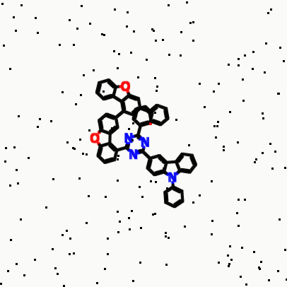 c1ccc(-c2cc(-c3ccc4oc5cccc(-c6nc(-c7ccccc7)nc(-c7ccc8c(c7)c7ccccc7n8-c7ccccc7)n6)c5c4c3)c3c(c2)oc2ccccc23)cc1